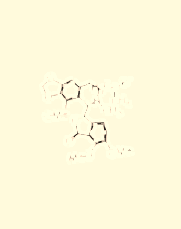 COc1ccc2c(c1OC)C(=O)O[C@@H]2[C@H]1c2c(cc3c(c2OC)OCO3)CCN1C.C[S+](C)[O-]